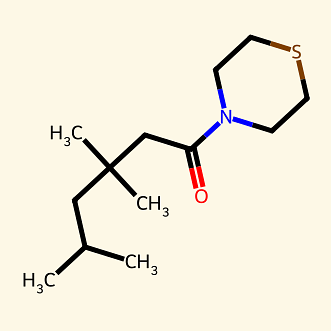 CC(C)CC(C)(C)CC(=O)N1CCSCC1